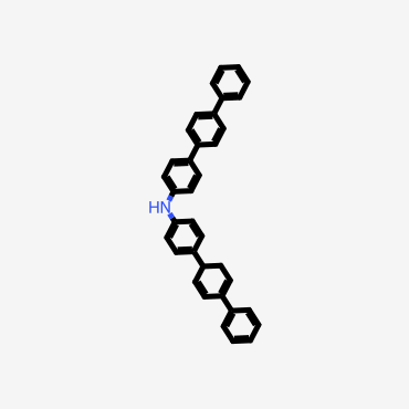 C1=CC(c2ccc(Nc3ccc(-c4ccc(-c5ccccc5)cc4)cc3)cc2)CC=C1c1ccccc1